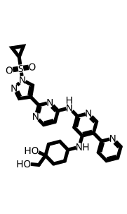 O=S(=O)(C1CC1)n1cc(-c2nccc(Nc3cc(NC4CCC(O)(CO)CC4)c(-c4ccccn4)cn3)n2)cn1